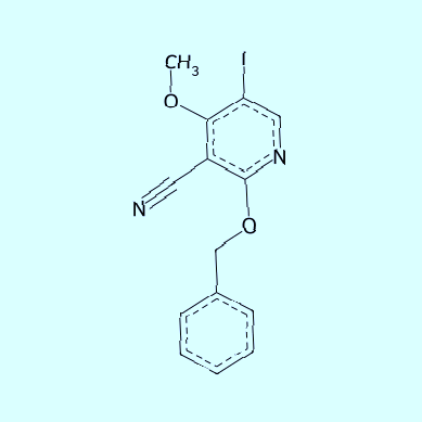 COc1c(I)cnc(OCc2ccccc2)c1C#N